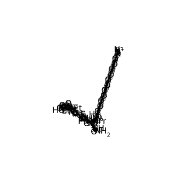 CCc1c2c(nc3ccc(OCc4c(F)cc(NC(=O)[C@H](CCCNC(N)=O)NC(=O)[C@@H](NC(=O)CCOCCOCCOCCOCCOCCOCCOCCOCCOCCOCCOCCN=[N+]=[N-])C(C)C)cc4F)cc13)-c1cc3c(c(=O)n1C2)COC(=O)[C@]3(O)CC